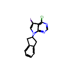 Clc1ncnc2c1c(I)cn2C1Cc2ccccc2C1